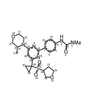 CNC(=O)Nc1ccc(-c2nc(N3CCOC[C@@H]3C)cc(C3(S(=O)(=O)C4CCOC4)CC3)n2)cc1